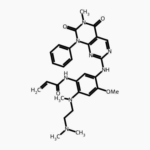 C=CC(=O)Nc1cc(Nc2ncc3c(=O)n(C)c(=O)n(-c4ccccc4)c3n2)c(OC)cc1N(C)CCN(C)C